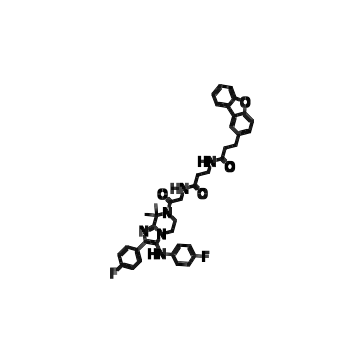 CC1(C)c2nc(-c3ccc(F)cc3)c(Nc3ccc(F)cc3)n2CCN1C(=O)CNC(=O)CCNC(=O)CCc1ccc2oc3ccccc3c2c1